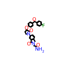 NC(=O)CN1Cc2ccc(N3CC[C@@H](Oc4ccc(C(=O)c5ccc(F)cc5)cc4)C3=O)cc2C1=O